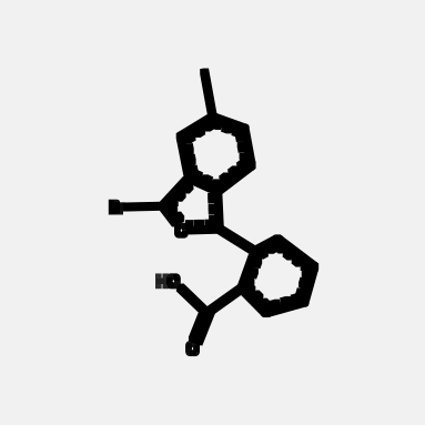 Cc1ccc2c(-c3ccccc3C(=O)O)oc(Br)c2c1